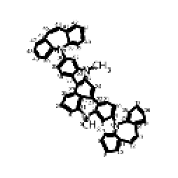 CN1c2cc(N3c4ccccc4C=Cc4ccccc43)ccc2-c2cc3c(c4cccc1c24)c1ccc(N2c4ccccc4C=Cc4ccccc42)cc1n3C